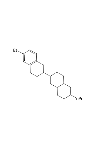 CCCC1CCC2CC(C3CCc4cc(CC)ccc4C3)CCC2C1